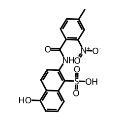 Cc1ccc(C(=O)Nc2ccc3c(O)cccc3c2S(=O)(=O)O)c([N+](=O)[O-])c1